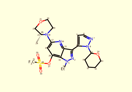 CCn1nc(-c2ccnn2C2CCCCO2)c2nc(N3CCOC[C@H]3C)cc(OS(=O)(=O)C(F)(F)F)c21